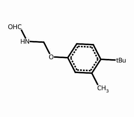 Cc1cc(OCNC=O)ccc1C(C)(C)C